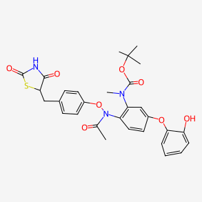 CC(=O)N(Oc1ccc(CC2SC(=O)NC2=O)cc1)c1ccc(Oc2ccccc2O)cc1N(C)C(=O)OC(C)(C)C